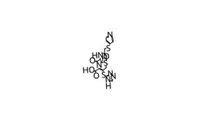 O=C(CSc1ccncc1)N[C@@H]1C(=O)N2C(C(=O)O)=C(Sc3nnc[nH]3)CS[C@@H]12